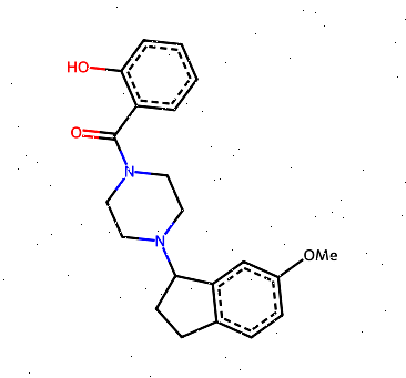 COc1ccc2c(c1)C(N1CCN(C(=O)c3ccccc3O)CC1)CC2